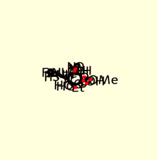 CC[C@H]1OC(=O)[C@H](C)[C@@H](O[C@@H](CCOC)O[C@@H](C)[C@@H](C)O)[C@H](C)[C@@H](O[C@@H]2O[C@H](C)C[C@H](N(C)C)[C@H]2O)[C@](C)(O)C[C@@H](C)CN(CCCNC(=S)Nc2ccc(F)c(F)c2F)[C@H](C)[C@@H](O)[C@]1(C)O